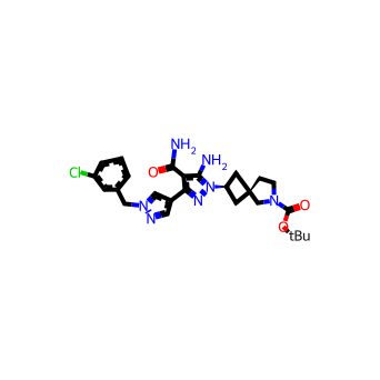 CC(C)(C)OC(=O)N1CC[C@]2(C1)C[C@H](n1nc(-c3cnn(Cc4cccc(Cl)c4)c3)c(C(N)=O)c1N)C2